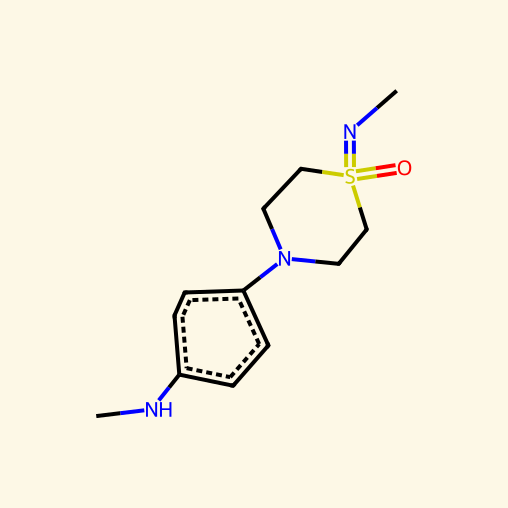 CN=S1(=O)CCN(c2ccc(NC)cc2)CC1